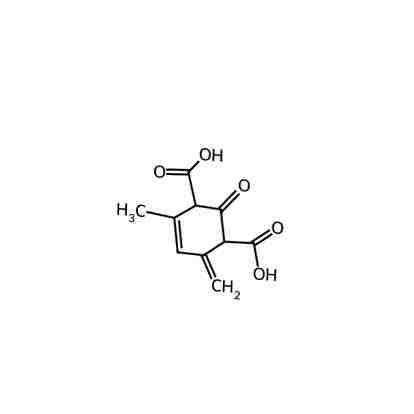 C=C1C=C(C)C(C(=O)O)C(=O)C1C(=O)O